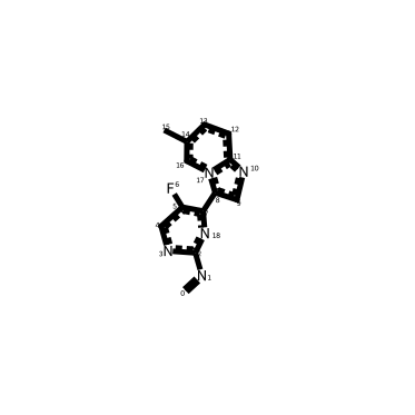 C=Nc1ncc(F)c(-c2cnc3ccc(C)cn23)n1